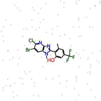 Cc1cc(C(F)(F)F)cc(O)c1-c1nc2nc(Cl)c(Br)cc2n1C